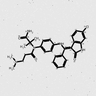 CN(C)CCC(=O)N(c1ccc(NC(=C2C(=O)Nc3cc(Cl)ccc32)c2ccccc2)cc1)C(C)(C)C(N)=O